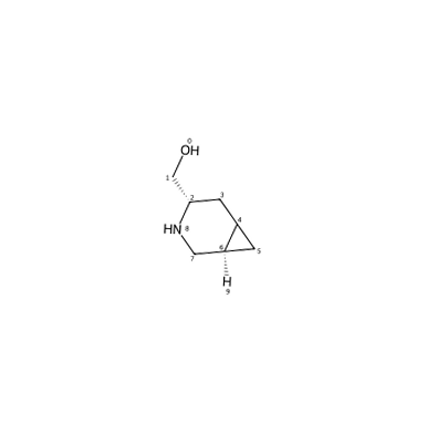 OC[C@@H]1CC2C[C@H]2CN1